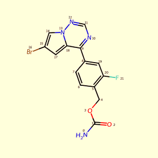 NC(=O)OCc1ccc(-c2ncnn3cc(Br)cc23)cc1F